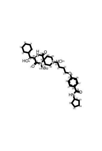 CCCCN1C(=O)[C@@H]([C@H](O)C2CCCCC2)NC(=O)C12CCN(CCCCOc1ccc(C(=O)NC3CCCC3)cc1)CC2.Cl